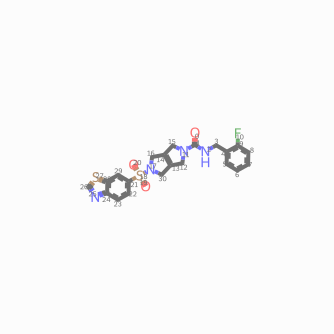 O=C(NCc1ccccc1F)N1CC2=C(C1)CN(S(=O)(=O)c1ccc3ncsc3c1)C2